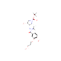 COCCCOc1cc(C(=O)N(C[C@H]2CN(C(=O)OC(C)(C)C)C[C@@H]2O)C(C)C)ccc1OC